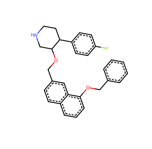 Fc1ccc(C2CCNCC2OCc2ccc3cccc(OCc4ccccc4)c3c2)cc1